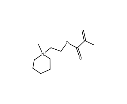 C=C(C)C(=O)OCC[N+]1(C)CCCCC1